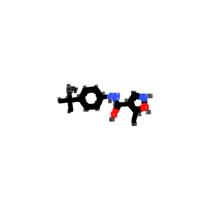 CCCC(C)(C)c1ccc(NC(=O)c2cnoc2C)cc1